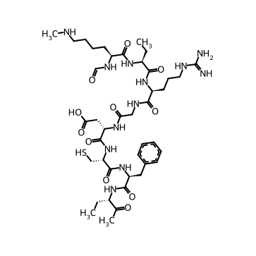 CC[C@H](NC(=O)[C@H](Cc1ccccc1)NC(=O)[C@H](CS)NC(=O)[C@H](CC(=O)O)NC(=O)CNC(=O)[C@H](CCCNC(=N)N)NC(=O)[C@H](CC)NC(=O)[C@H](CCCCNC)NC=O)C(C)=O